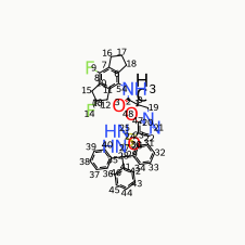 CC1(C(=O)Nc2c3c(c(F)c4c2C[C@@H](F)C4)CCC3)Cn2ncc(S(=N)(=O)NC(c3ccccc3)(c3ccccc3)c3ccccc3)c2O1